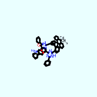 CC1(C)c2ccccc2C2(c3ccc(-c4nc(-c5ccc6c(c5)[nH]c5ccccc56)c5oc6ccccc6c5n4)cc3-c3c(C4=NC(c5ccccc5)=NC(c5ccccc5)N4)cccc32)c2ccccc21